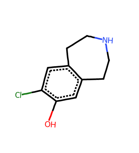 Oc1cc2c(cc1Cl)CCNCC2